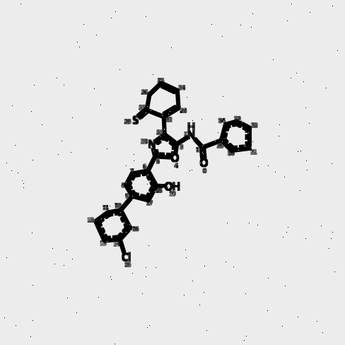 O=C(Nc1oc(-c2ccc(-c3cccc(Cl)c3)cc2O)nc1C1=CC=CCC1=S)c1ccccc1